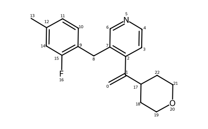 C=C(c1ccncc1Cc1ccc(C)cc1F)C1CCOCC1